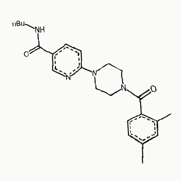 CCCCNC(=O)c1ccc(N2CCN(C(=O)c3ccc(C)cc3C)CC2)nc1